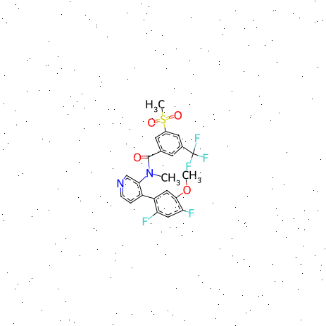 COc1cc(-c2ccncc2N(C)C(=O)c2cc(C(F)(F)F)cc(S(C)(=O)=O)c2)c(F)cc1F